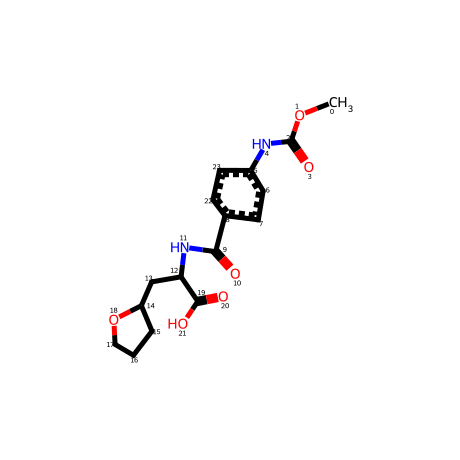 COC(=O)Nc1ccc(C(=O)NC(CC2CCCO2)C(=O)O)cc1